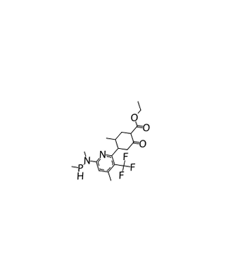 CCOC(=O)C1CC(C)C(c2nc(N(C)PC)cc(C)c2C(F)(F)F)CC1=O